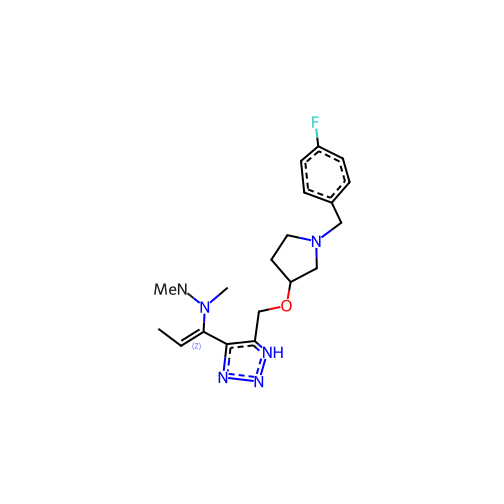 C/C=C(/c1nn[nH]c1COC1CCN(Cc2ccc(F)cc2)C1)N(C)NC